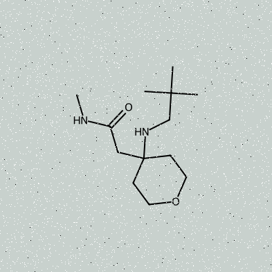 CNC(=O)CC1(NCC(C)(C)C)CCOCC1